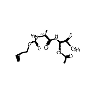 C=CCOC(=O)N[C@@H](C)C(=O)NC(OC(C)=O)C(=O)O